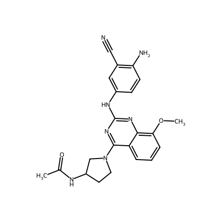 COc1cccc2c(N3CCC(NC(C)=O)C3)nc(Nc3ccc(N)c(C#N)c3)nc12